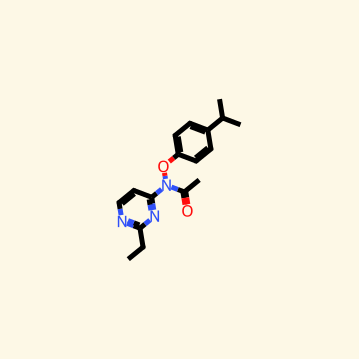 CCc1nccc(N(Oc2ccc(C(C)C)cc2)C(C)=O)n1